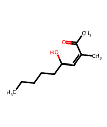 CCCCCC(O)C=C(C)C(C)=O